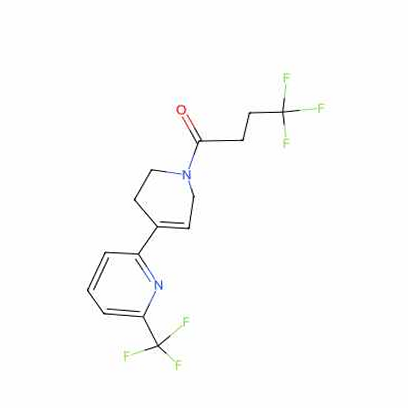 O=C(CCC(F)(F)F)N1CC=C(c2cccc(C(F)(F)F)n2)CC1